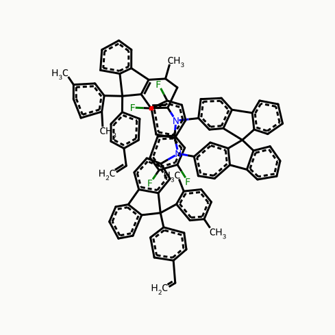 C=Cc1ccc(C2(c3cc(C)ccc3C)C3=C(c4ccccc42)C(C)CC(N(c2ccc(F)c(F)c2)c2ccc4c(c2)C2(c5ccccc5-4)c4ccccc4-c4ccc(N(c5ccc(F)c(F)c5)c5ccc6c(c5)C(c5ccc(C=C)cc5)(c5cc(C)ccc5C)c5ccccc5-6)cc42)=C3)cc1